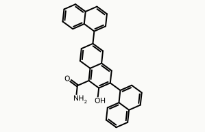 NC(=O)c1c(O)c(-c2cccc3ccccc23)cc2cc(-c3cccc4ccccc34)ccc12